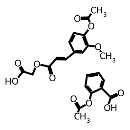 CC(=O)Oc1ccccc1C(=O)O.COc1cc(C=CC(=O)OCC(=O)O)ccc1OC(C)=O